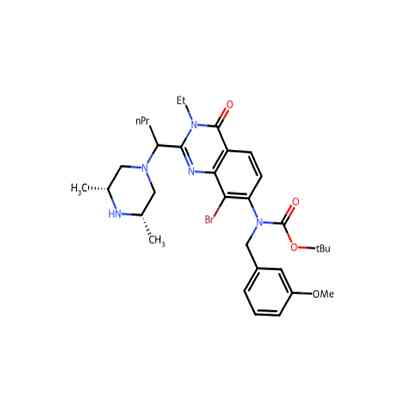 CCCC(c1nc2c(Br)c(N(Cc3cccc(OC)c3)C(=O)OC(C)(C)C)ccc2c(=O)n1CC)N1C[C@@H](C)N[C@@H](C)C1